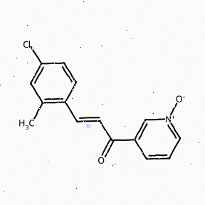 Cc1cc(Cl)ccc1/C=C/C(=O)c1ccc[n+]([O-])c1